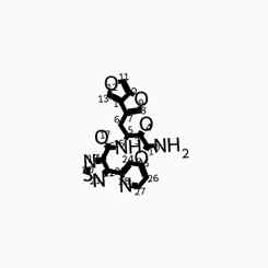 NC(=O)C(=O)C(Cc1coc2cocc12)NC(=O)c1nsnc1-c1ccccn1